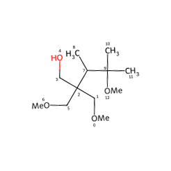 COCC(CO)(COC)C(C)C(C)(C)OC